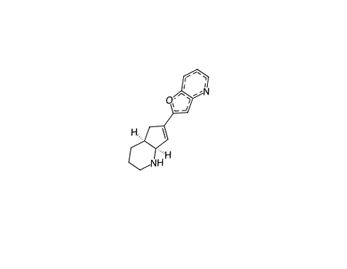 C1=C(c2cc3ncccc3o2)C[C@@H]2CCCN[C@H]12